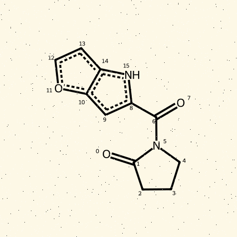 O=C1CCCN1C(=O)c1cc2occc2[nH]1